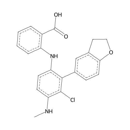 CNc1ccc(Nc2ccccc2C(=O)O)c(-c2ccc3c(c2)CCO3)c1Cl